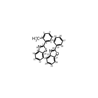 Cc1ccccc1-c1nc2ccccc2s1.c1ccc(-c2nc3ccccc3o2)cc1